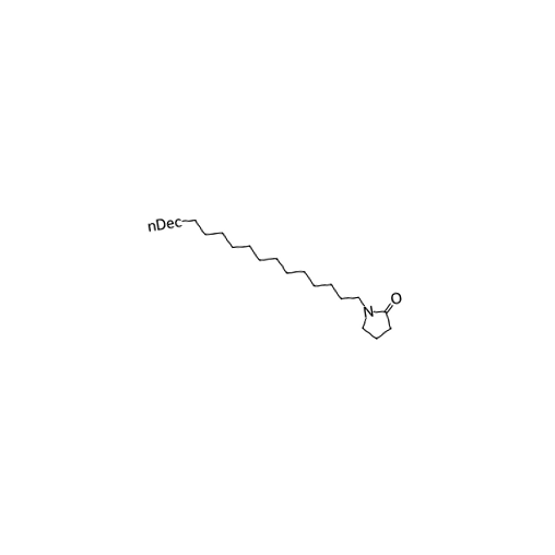 CCCCCCCCCCCCCCCCCCCCCCCN1CCCC1=O